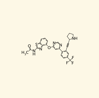 CC(=O)Nc1nc2c(Oc3cc(-c4ccc(C(F)(F)F)cc4C#CC4CCCN4)ncn3)cccc2s1